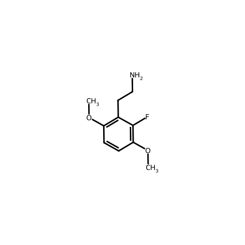 COc1ccc(OC)c(CCN)c1F